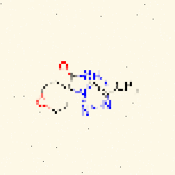 Cc1cn(C2(C(N)=O)CCOCC2)nn1